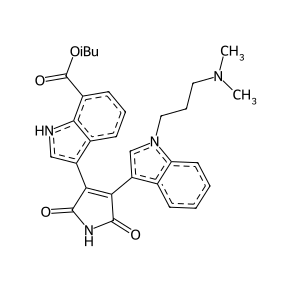 CC(C)COC(=O)c1cccc2c(C3=C(c4cn(CCCN(C)C)c5ccccc45)C(=O)NC3=O)c[nH]c12